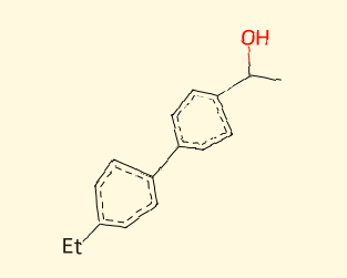 CCc1ccc(-c2ccc(C(C)O)cc2)cc1